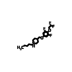 CCCCC[SiH]1CCC(COc2cc(F)c(OCC(F)F)c(F)c2)CC1